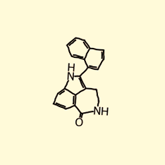 O=C1NCCc2c(-c3cccc4ccccc34)[nH]c3cccc1c23